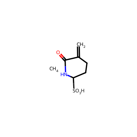 C.C=C1CCC(S(=O)(=O)O)NC1=O